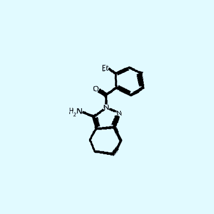 CCc1ccccc1C(=O)n1nc2c(c1N)CCCC2